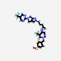 COc1ccc(Cn2ncc(NC(C)CCCn3cc4c(n3)CN(c3ncc(C(F)(F)F)cn3)C4)c(C(F)(F)F)c2=O)cc1